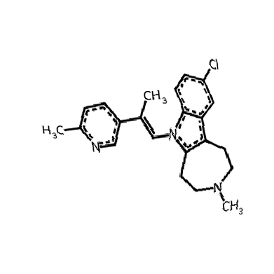 C/C(=C\n1c2c(c3cc(Cl)ccc31)CCN(C)CC2)c1ccc(C)nc1